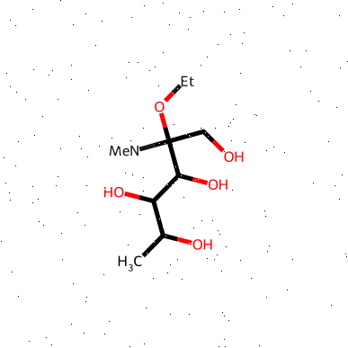 CCOC(CO)(NC)C(O)C(O)C(C)O